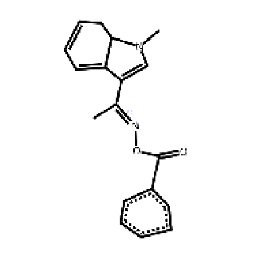 C/C(=N\OC(=O)c1ccccc1)C1=CN(C)C2CC=CC=C12